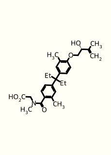 C=C(C)[C@@H](O)COc1ccc(C(CC)(CC)c2ccc(C(=O)N(C)CC(=O)O)c(C)c2)cc1C